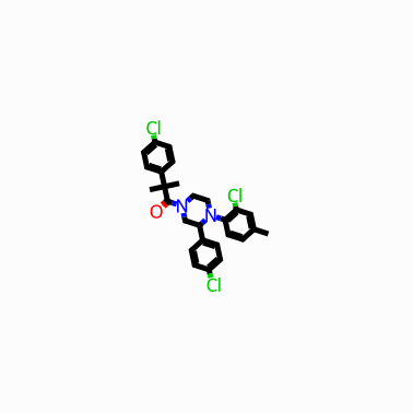 Cc1ccc(N2CCN(C(=O)C(C)(C)c3ccc(Cl)cc3)CC2c2ccc(Cl)cc2)c(Cl)c1